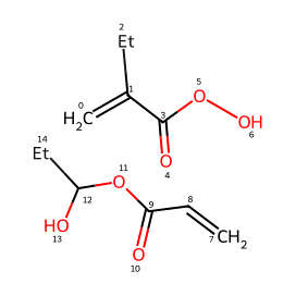 C=C(CC)C(=O)OO.C=CC(=O)OC(O)CC